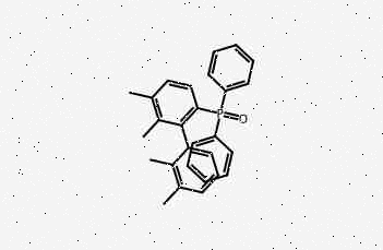 Cc1cccc(-c2c(P(=O)(c3ccccc3)c3ccccc3)ccc(C)c2C)c1C